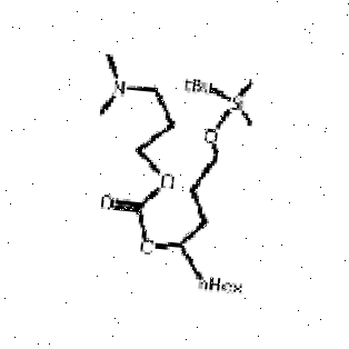 CCCCCCC(CCCO[Si](C)(C)C(C)(C)C)OC(=O)OCCCN(C)C